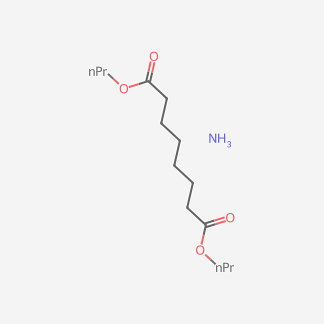 CCCOC(=O)CCCCCCC(=O)OCCC.N